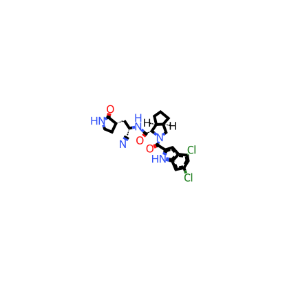 N#C[C@H](C[C@@H]1CCNC1=O)NC(=O)[C@@H]1[C@H]2CCC[C@H]2CN1C(=O)c1cc2c(Cl)cc(Cl)cc2[nH]1